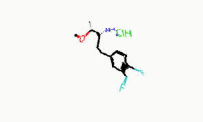 CO[C@H](C)[C@H](N)Cc1ccc(F)c(F)c1.Cl